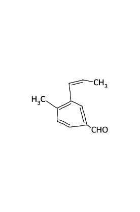 C/C=C\c1cc(C=O)ccc1C